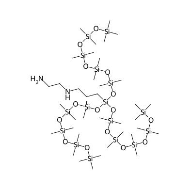 C[Si](C)(C)O[Si](C)(C)O[Si](C)(C)O[Si](C)(C)O[Si](C)(C)O[Si](CCCNCCN)(O[Si](C)(C)O[Si](C)(C)O[Si](C)(C)O[Si](C)(C)O[Si](C)(C)C)O[Si](C)(C)O[Si](C)(C)O[Si](C)(C)O[Si](C)(C)O[Si](C)(C)C